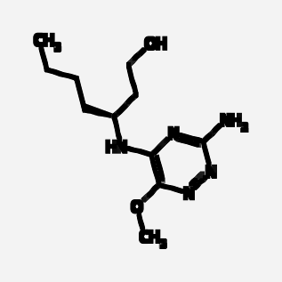 CCCC[C@@H](CCO)Nc1nc(N)nnc1OC